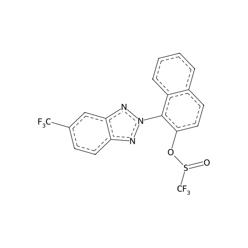 O=S(Oc1ccc2ccccc2c1-n1nc2ccc(C(F)(F)F)cc2n1)C(F)(F)F